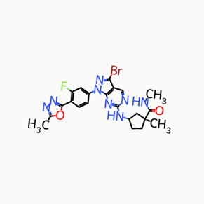 CNC(=O)[C@]1(C)CC[C@@H](Nc2ncc3c(Br)nn(-c4ccc(-c5nnc(C)o5)c(F)c4)c3n2)C1